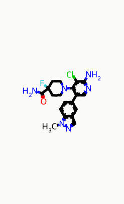 Cn1ncc2cc(-c3cnc(N)c(Cl)c3N3CCC(F)(C(N)=O)CC3)ccc21